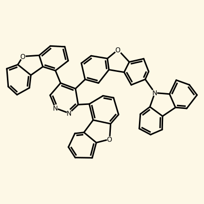 c1ccc2c(c1)oc1cccc(-c3cnnc(-c4cccc5oc6ccccc6c45)c3-c3ccc4oc5ccc(-n6c7ccccc7c7ccccc76)cc5c4c3)c12